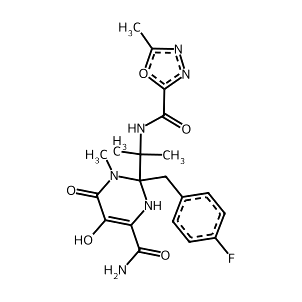 Cc1nnc(C(=O)NC(C)(C)C2(Cc3ccc(F)cc3)NC(C(N)=O)=C(O)C(=O)N2C)o1